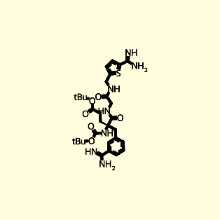 CC(C)(C)OC(=O)CC[C@@](Cc1cccc(C(=N)N)c1)(NC(=O)OC(C)(C)C)C(=O)NCC(=O)NCc1ccc(C(=N)N)s1